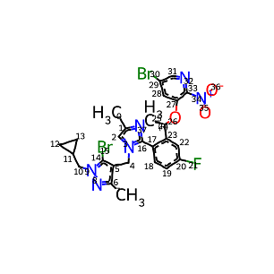 Cc1cn(Cc2c(C)nn(CC3CC3)c2Br)c(-c2ccc(F)cc2[C@@H](C)Oc2cc(Br)cnc2[N+](=O)[O-])n1